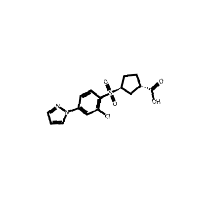 O=C(O)[C@H]1CC[C@H](S(=O)(=O)c2ccc(-n3cccn3)cc2Cl)C1